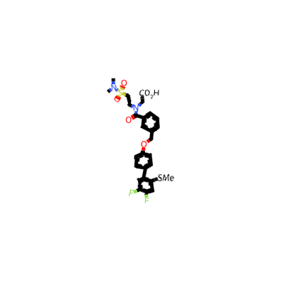 CSc1cc(F)c(F)cc1-c1ccc(OCc2cccc(C(=O)N(CCS(=O)(=O)N(C)C)CC(=O)O)c2)cc1